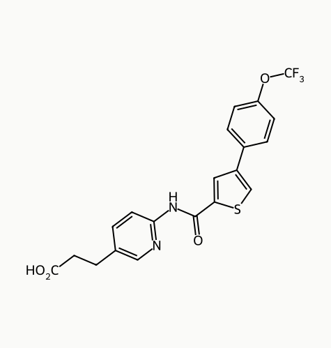 O=C(O)CCc1ccc(NC(=O)c2cc(-c3ccc(OC(F)(F)F)cc3)cs2)nc1